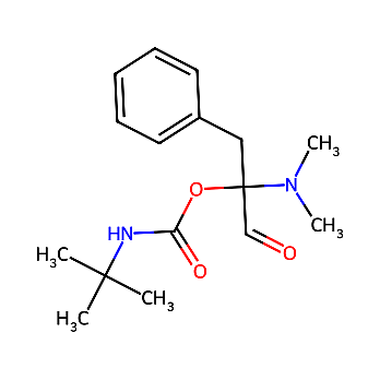 CN(C)C(C=O)(Cc1ccccc1)OC(=O)NC(C)(C)C